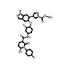 CCc1ccc(C(=O)Nc2ccc(Oc3cc4cnn(C)c4cc3-c3cnn(C(=O)OC(C)(C)C)c3)c(F)c2)c(=O)n1-c1ccc(F)cc1